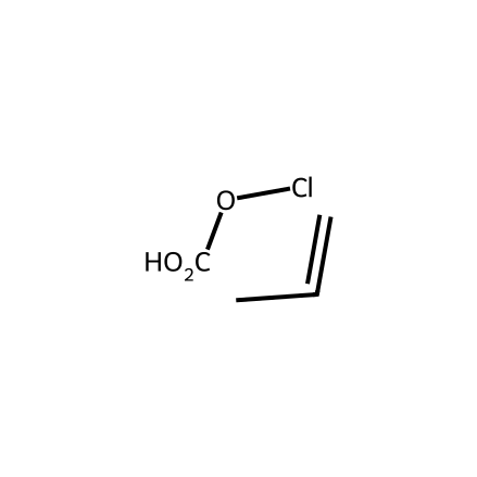 C=CC.O=C(O)OCl